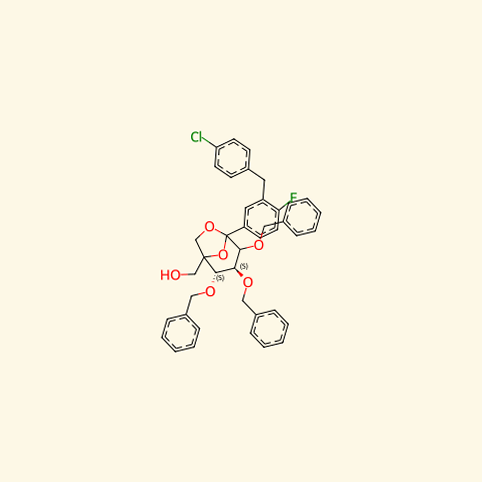 OCC12COC(c3ccc(F)c(Cc4ccc(Cl)cc4)c3)(O1)C(OCc1ccccc1)[C@@H](OCc1ccccc1)[C@@H]2OCc1ccccc1